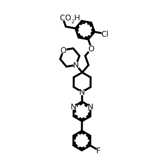 O=C(O)Cc1ccc(Cl)c(OCCC2(N3CCOCC3)CCN(c3ncc(-c4cccc(F)c4)cn3)CC2)c1